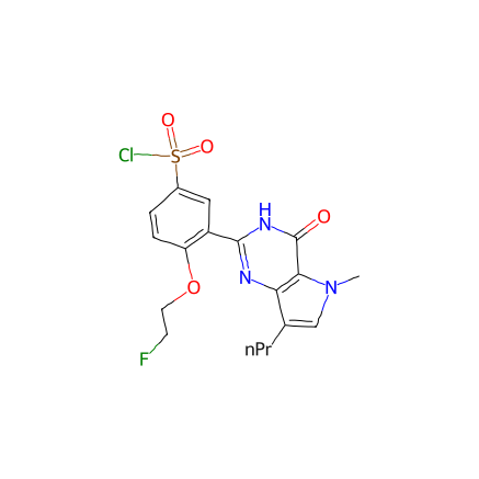 CCCc1cn(C)c2c(=O)[nH]c(-c3cc(S(=O)(=O)Cl)ccc3OCCF)nc12